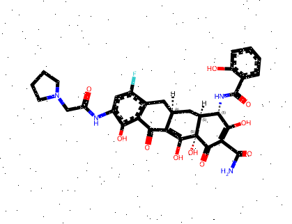 NC(=O)C1=C(O)[C@@H](NC(=O)c2ccccc2O)[C@@H]2C[C@@H]3Cc4c(F)cc(NC(=O)CN5CCCC5)c(O)c4C(=O)C3=C(O)[C@]2(O)C1=O